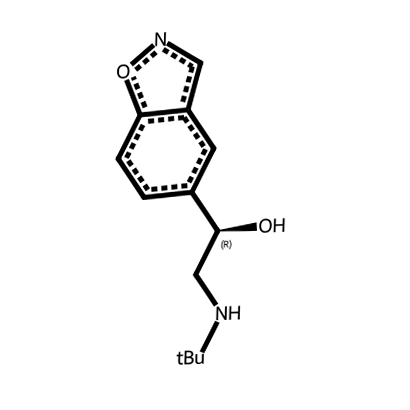 CC(C)(C)NC[C@H](O)c1ccc2oncc2c1